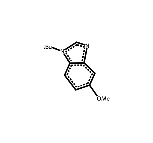 COc1ccc2c(c1)ncn2C(C)(C)C